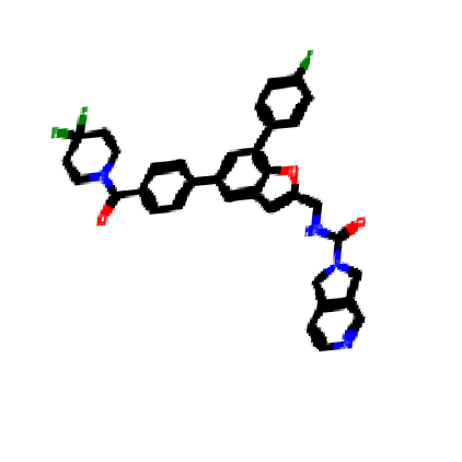 O=C(NCc1cc2cc(-c3ccc(C(=O)N4CCC(F)(F)CC4)cc3)cc(-c3ccc(F)cc3)c2o1)N1Cc2ccncc2C1